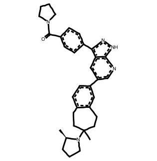 C[C@@H]1CCCN1C1(C)CCc2ccc(-c3cnc4[nH]nc(-c5ccc(C(=O)N6CCCC6)cc5)c4c3)cc2CC1